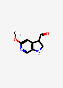 COc1cc2c(cn1)NCC2C=O